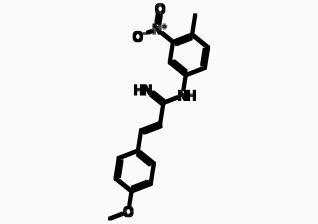 COc1ccc(/C=C/C(=N)Nc2ccc(C)c([N+](=O)[O-])c2)cc1